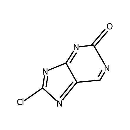 O=C1N=CC2=NC(Cl)=NC2=N1